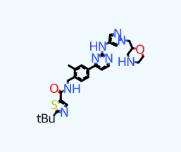 Cc1cc(-c2ccnc(Nc3cnn(CC4CNCCO4)c3)n2)ccc1CNC(=O)c1cnc(C(C)(C)C)s1